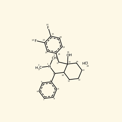 CN(C)C(c1ccccc1)C1CCCCC1(O)Cc1ccc(F)c(F)c1.Cl